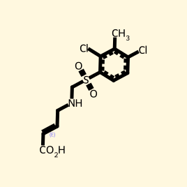 Cc1c(Cl)ccc(S(=O)(=O)CNC/C=C/C(=O)O)c1Cl